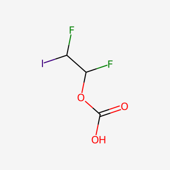 O=C(O)OC(F)C(F)I